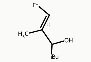 CC/C=C(\C)C(O)C(C)CC